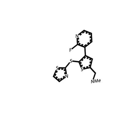 CNCc1cc(-c2cccnc2F)c(Sc2nccs2)s1